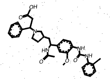 COc1cc(C(CC2CCN(C(CC(=O)O)c3ccccc3)C2)NC(C)=O)ccc1NC(=O)Nc1ccccc1C